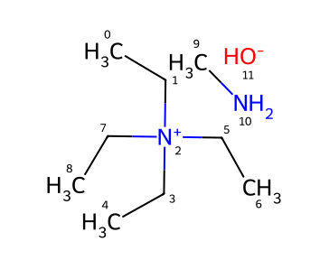 CC[N+](CC)(CC)CC.CN.[OH-]